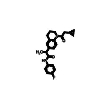 CC(C(=O)Nc1ccc(F)cc1)c1ccc2c(c1)CCCN2C(=O)CC1CC1